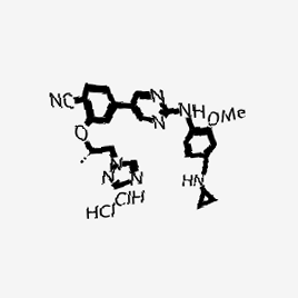 COc1cc(CNC2CC2)ccc1Nc1ncc(-c2ccc(C#N)c(O[C@@H](C)Cn3cncn3)c2)cn1.Cl.Cl